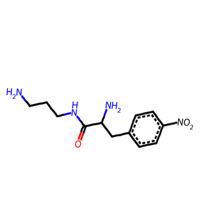 NCCCNC(=O)C(N)Cc1ccc([N+](=O)[O-])cc1